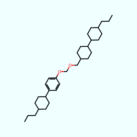 CCCC1CCC(c2ccc(OCOCC3CCC(C4CCC(CCC)CC4)CC3)cc2)CC1